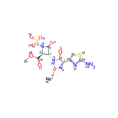 CON=C(C(=O)N[C@H]1C(=O)N(S(=O)(=O)[O-])[C@@H]1C(=O)OC)c1csc(N)n1.[Na+]